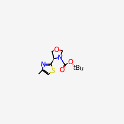 Cc1csc([C@H]2COCN2C(=O)OC(C)(C)C)n1